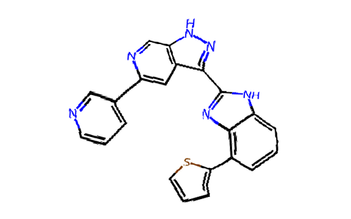 c1cncc(-c2cc3c(-c4nc5c(-c6cccs6)cccc5[nH]4)n[nH]c3cn2)c1